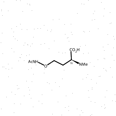 CN[C@@H](CCONC(C)=O)C(=O)O